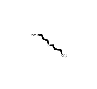 CCCCCCCCOCCCC(=O)O